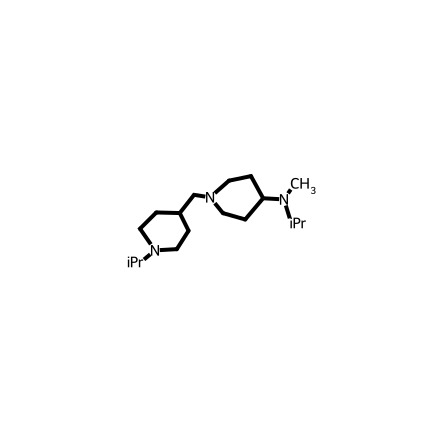 CC(C)N1CCC(CN2CCC(N(C)C(C)C)CC2)CC1